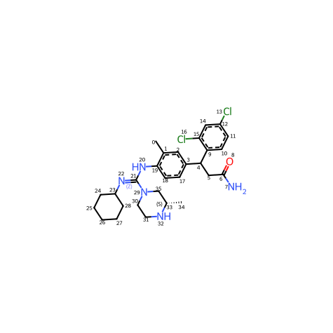 Cc1cc(C(CC(N)=O)c2ccc(Cl)cc2Cl)ccc1N/C(=N/C1CCCCC1)N1CCN[C@@H](C)C1